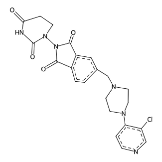 O=C1CCN(N2C(=O)c3ccc(CN4CCN(c5ccncc5Cl)CC4)cc3C2=O)C(=O)N1